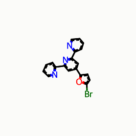 Brc1ccc(-c2cc(-c3ccccn3)nc(-c3ccccn3)c2)o1